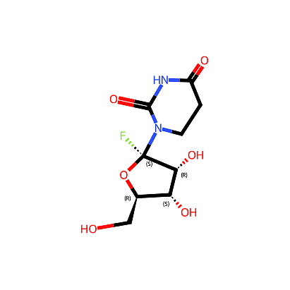 O=C1CCN([C@]2(F)O[C@H](CO)[C@@H](O)[C@H]2O)C(=O)N1